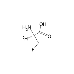 [2H][C@@](N)(CF)C(=O)O